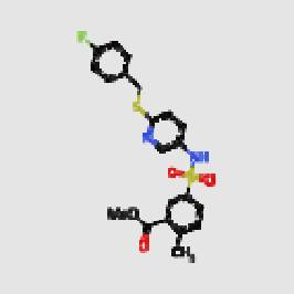 COC(=O)c1cc(S(=O)(=O)Nc2ccc(SCc3ccc(F)cc3)nc2)ccc1C